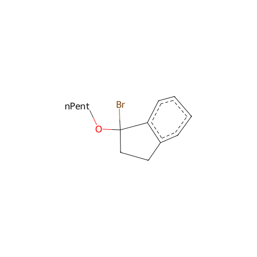 CCCCCOC1(Br)CCc2ccccc21